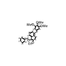 CCOc1ccc2c(Cc3cc(OC)c(OC)c(OC)c3)cncc2c1OCc1ccccc1